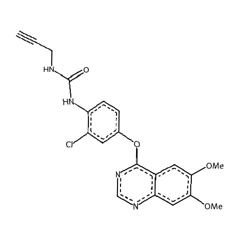 C#CCNC(=O)Nc1ccc(Oc2ncnc3cc(OC)c(OC)cc23)cc1Cl